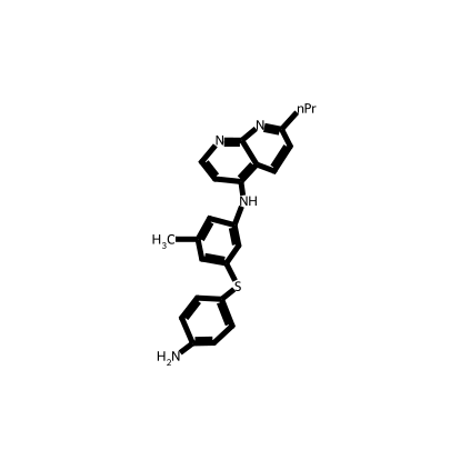 CCCc1ccc2c(Nc3cc(C)cc(Sc4ccc(N)cc4)c3)ccnc2n1